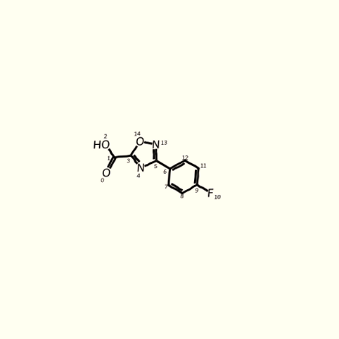 O=C(O)c1nc(-c2ccc(F)cc2)no1